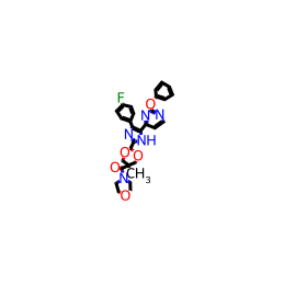 CC1(C(=O)N2CCOCC2)COC(c2nc(-c3ccc(F)cc3)c(-c3ccnc(Oc4ccccc4)n3)[nH]2)OC1